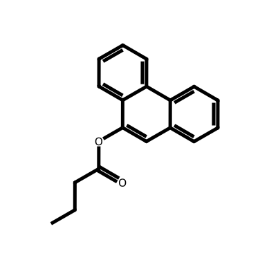 CCCC(=O)Oc1cc2ccccc2c2ccccc12